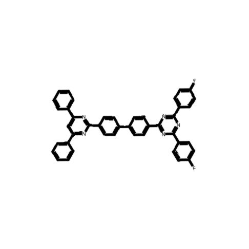 Fc1ccc(-c2nc(-c3ccc(F)cc3)nc(-c3ccc(-c4ccc(-c5nc(-c6ccccc6)cc(-c6ccccc6)n5)cc4)cc3)n2)cc1